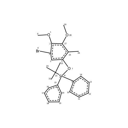 COc1c(Br)cc(O[Si](c2ccccc2)(c2ccccc2)C(C)(C)C)c(C)c1OC